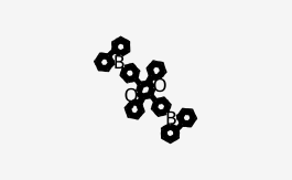 c1ccc2c(c1)B(c1ccc(-c3c4oc5ccccc5c4c(-c4ccc(B5c6ccccc6-c6ccccc65)cc4)c4oc5ccccc5c34)cc1)c1ccccc1-2